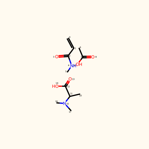 C=CC(=O)NC.CC(=O)O.CC(C(=O)O)N(C)C